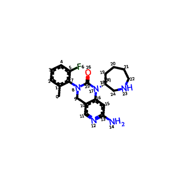 Cc1cccc(F)c1N1Cc2cnc(N)cc2N([C@@H]2CCCCNC2)C1=O